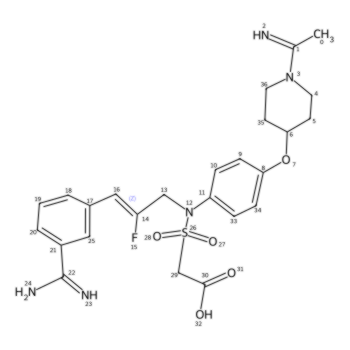 CC(=N)N1CCC(Oc2ccc(N(C/C(F)=C/c3cccc(C(=N)N)c3)S(=O)(=O)CC(=O)O)cc2)CC1